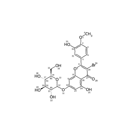 COc1ccc(-c2oc3cc(OC4O[C@H](CO)[C@@H](O)[C@H](O)[C@H]4O)cc(O)c3c(=O)c2Br)cc1O